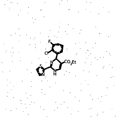 CCOC(=O)C1=CNC(c2nccs2)=NC1c1cccc(F)c1Cl